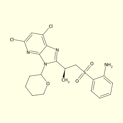 C[C@H](CS(=O)(=O)c1ccccc1N)c1nc2c(Cl)cc(Cl)nc2n1C1CCCCO1